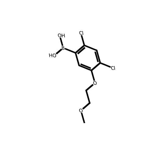 COCCOc1cc(B(O)O)c(Cl)cc1Cl